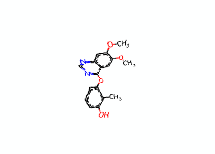 COc1cc2ncnc(Oc3cccc(O)c3C)c2cc1OC